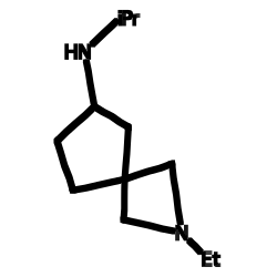 CCN1CC2(CCC(NC(C)C)C2)C1